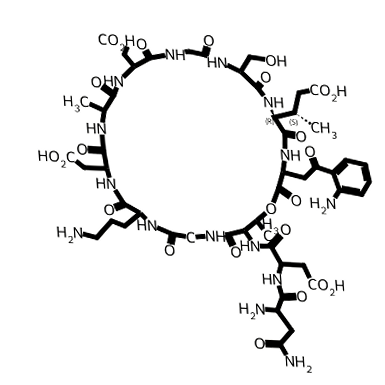 CC1NC(=O)C(CC(=O)O)NC(=O)C(CCCN)NC(=O)CNC(=O)C(NC(=O)C(CC(=O)O)NC(=O)C(N)CC(N)=O)C(C)OC(=O)C(CC(=O)c2ccccc2N)NC(=O)[C@@H]([C@@H](C)CC(=O)O)NC(=O)C(CO)NC(=O)CNC(=O)C(CC(=O)O)NC1=O